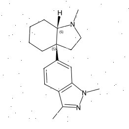 Cc1nn(C)c2cc([C@@]34CCCC[C@@H]3N(C)CC4)ccc12